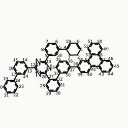 C1=CCCC(c2cccc(-c3nc(-c4cccc(-c5ccccc5)c4)nc(-c4ccccc4-c4cccc(-c5ccc6c7ccccc7c7ccccc7c6c5)c4)n3)c2)=C1